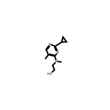 Cc1cnc(C2CC2)nc1N(C)CCO